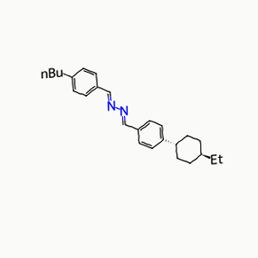 CCCCc1ccc(C=NN=Cc2ccc([C@H]3CC[C@H](CC)CC3)cc2)cc1